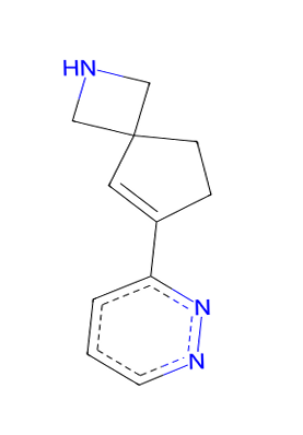 C1=C(c2cccnn2)CCC12CNC2